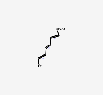 [CH2]CCCC/C=C/C=C/C=C/CC